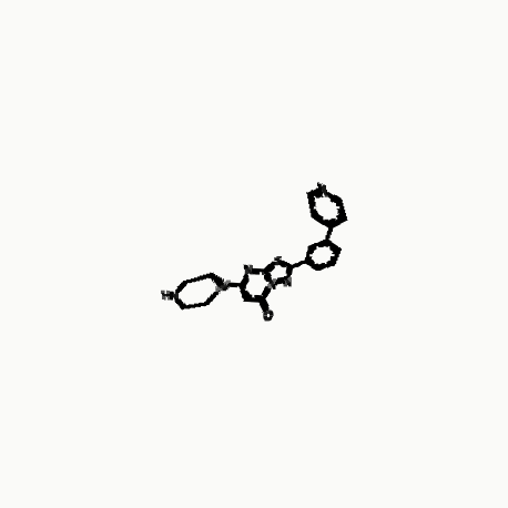 O=c1cc(N2CCNCC2)nc2sc(-c3cccc(-c4ccncc4)c3)nn12